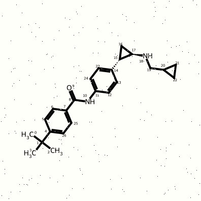 CC(C)(C)c1ccc(C(=O)Nc2ccc([C@@H]3C[C@H]3NCC3CC3)cc2)cc1